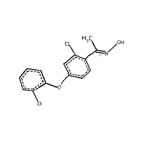 C/C(=N\O)c1ccc(Oc2ccccc2Cl)cc1Cl